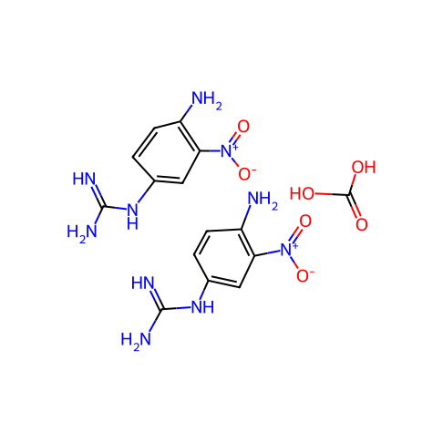 N=C(N)Nc1ccc(N)c([N+](=O)[O-])c1.N=C(N)Nc1ccc(N)c([N+](=O)[O-])c1.O=C(O)O